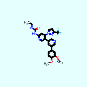 CCNC(=O)Nc1cc(-n2ccc(C(F)(F)F)n2)c(-c2cncc(-c3ccc(OC)c(OC)c3)c2)cn1